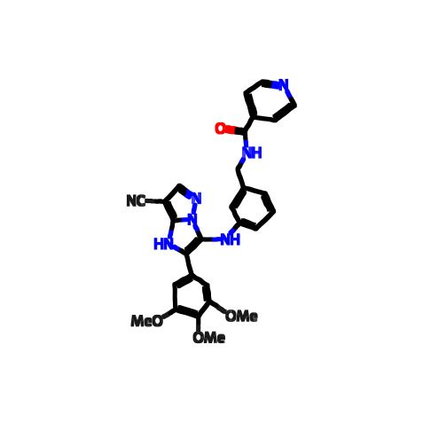 COc1cc(-c2[nH]c3c(C#N)cnn3c2Nc2cccc(CNC(=O)c3ccncc3)c2)cc(OC)c1OC